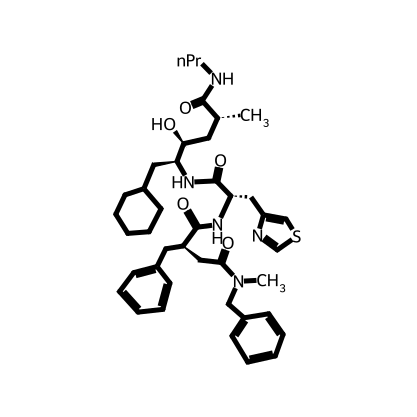 CCCNC(=O)[C@H](C)C[C@H](O)[C@H](CC1CCCCC1)NC(=O)[C@H](Cc1cscn1)NC(=O)[C@@H](CC(=O)N(C)Cc1ccccc1)Cc1ccccc1